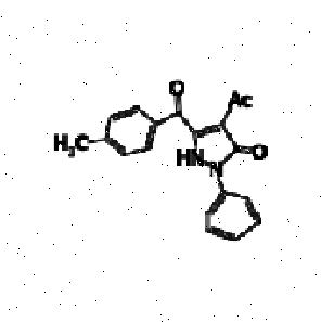 CC(=O)c1c(C(=O)c2ccc(C)cc2)[nH]n(-c2ccccc2)c1=O